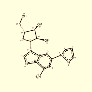 Nc1nc(-n2cccn2)nc2c1ncn2[C@@H]1O[C@H](CO)[C@@H](O)[C@H]1O